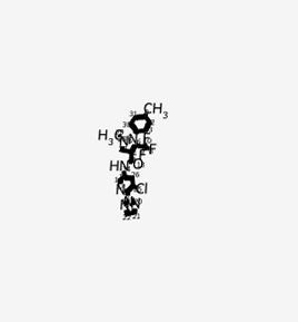 Cc1ccc(N2C(C(F)(F)F)=C(C(=O)Nc3cnc(-n4nccn4)c(Cl)c3)CN2C)cc1